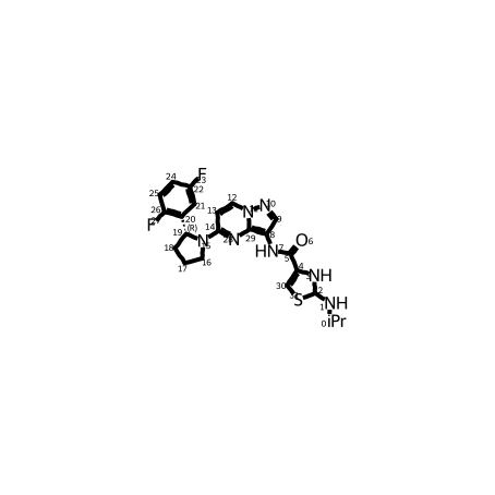 CC(C)NC1NC(C(=O)Nc2cnn3ccc(N4CCC[C@@H]4c4cc(F)ccc4F)nc23)=CS1